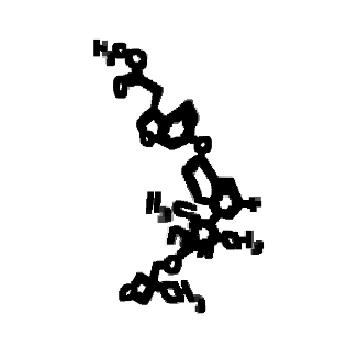 COC(=O)C[C@@H]1COc2cc(O[C@@H]3CCc4c(-c5c(C)nc(OCC6(C)COC6)nc5C)cc(F)cc43)ccc21